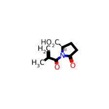 C=C(C)C(=O)N1C(=O)CC[C@H]1C(=O)O